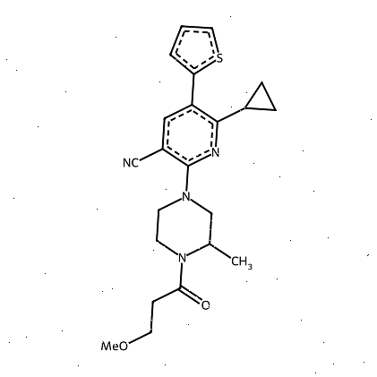 COCCC(=O)N1CCN(c2nc(C3CC3)c(-c3cccs3)cc2C#N)CC1C